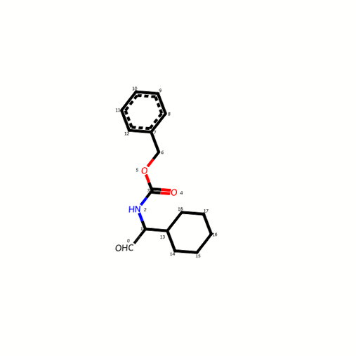 O=CC(NC(=O)OCc1ccccc1)C1CCCCC1